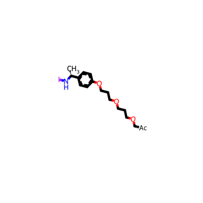 CC(=O)COCCCOCCCOc1ccc([C@@H](C)NI)cc1